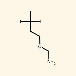 CC(I)(I)CCOCN